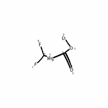 CCO[C](=O)[Mg][CH](F)F